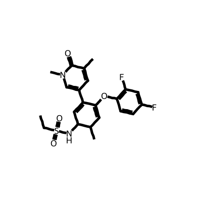 CCS(=O)(=O)NC1C=C(c2cc(C)c(=O)n(C)c2)C(Oc2ccc(F)cc2F)=CC1C